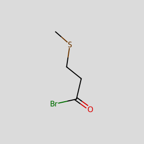 CSCCC(=O)Br